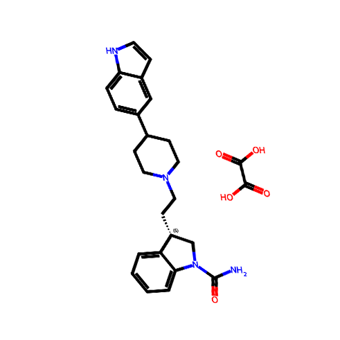 NC(=O)N1C[C@@H](CCN2CCC(c3ccc4[nH]ccc4c3)CC2)c2ccccc21.O=C(O)C(=O)O